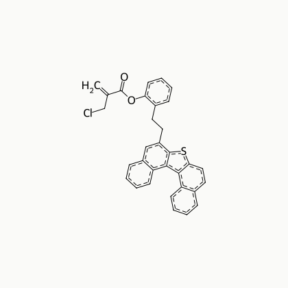 C=C(CCl)C(=O)Oc1ccccc1CCc1cc2ccccc2c2c1sc1ccc3ccccc3c12